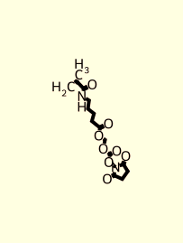 C=C(C)C(=O)NCCCCC(=O)OCOC(=O)ON1C(=O)CCC1=O